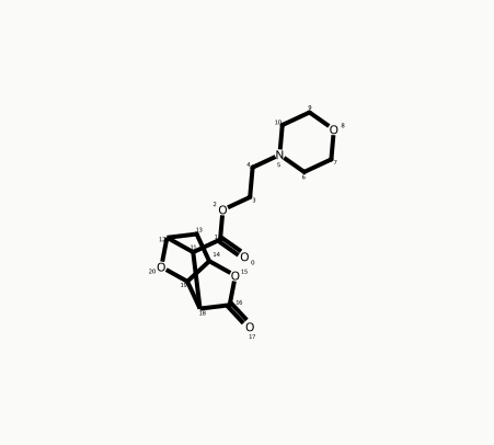 O=C(OCCN1CCOCC1)C1C2CC3OC(=O)C1C3O2